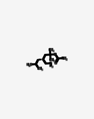 CC(C)C[C@@H](CN)CC(C)(C)OC(N)=O